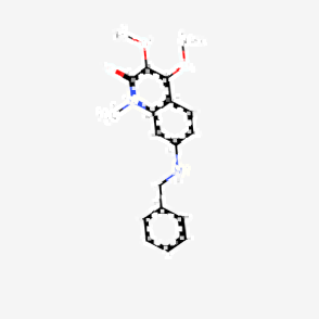 CCCCCCOc1c(OC(C)C)c(=O)n(C)c2cc(NCc3ccccc3)ccc12